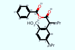 CCCc1ccc(C(=O)O)c(C(CCC)C(=O)OC(=O)c2ccccc2)c1